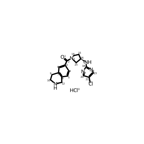 Cl.O=C(c1ccc2c(c1)CCNC2)N1CC[C@@H](Nc2ncc(Cl)cn2)C1